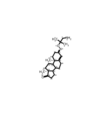 CC(C)(CN)O/N=C1/C=C2CCC3C(CC[C@]4(C)C(=O)CCC34)[C@@]2(C)CC1